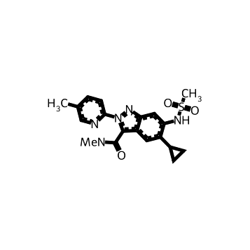 CNC(=O)c1c2cc(C3CC3)c(NS(C)(=O)=O)cc2nn1-c1ccc(C)cn1